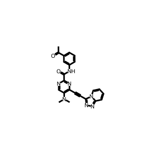 CC(=O)c1cccc(NC(=O)c2ncc(N(C)C)c(C#Cc3nnc4ccccn34)n2)c1